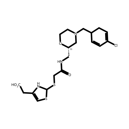 O=C(O)CC1=CSC(SCC(=O)NC[C@H]2CN(CC3C=CC(Cl)=CC3)CCO2)N1